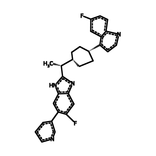 C[C@@H](c1nc2cc(F)c(-c3cccnc3)cc2[nH]1)[C@H]1CC[C@@H](c2ccnc3ccc(F)cc32)CC1